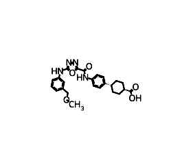 COCc1cccc(Nc2nnc(C(=O)Nc3ccc([C@H]4CC[C@H](C(=O)O)CC4)cc3)o2)c1